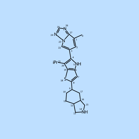 Cc1cc(-c2[nH]c3cc(C4CCC5CNCC5C4)sc3c2C(C)C)cn2ncnc12